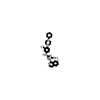 Nc1nc(Nc2ccc(N3CCN(C4CCCCC4)CC3)c(Cl)c2)nn1-c1nccc2ccccc12